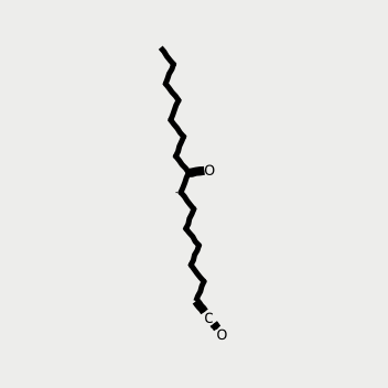 CCCCCCCC(=O)[CH]CCCCCC=C=O